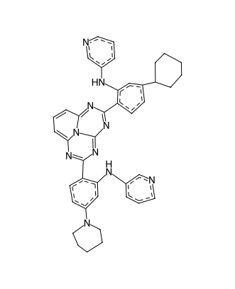 C1=CC2=NC(c3ccc(C4CCCCC4)cc3Nc3cccnc3)=NC3=NC(c4ccc(N5CCCCC5)cc4Nc4cccnc4)=NC(=C1)N23